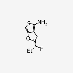 [CH2]C[C@@H](F)N1Cc2c(csc2N)O1